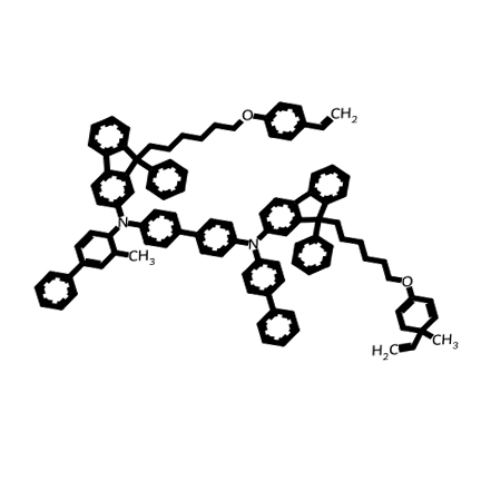 C=Cc1ccc(OCCCCCCC2(c3ccccc3)c3ccccc3-c3ccc(N(c4ccc(-c5ccc(N(c6ccc(-c7ccccc7)cc6)c6ccc7c(c6)C(CCCCCCOC6=CCC(C)(C=C)C=C6)(c6ccccc6)c6ccccc6-7)cc5)cc4)C4C=CC(c5ccccc5)=CC4C)cc32)cc1